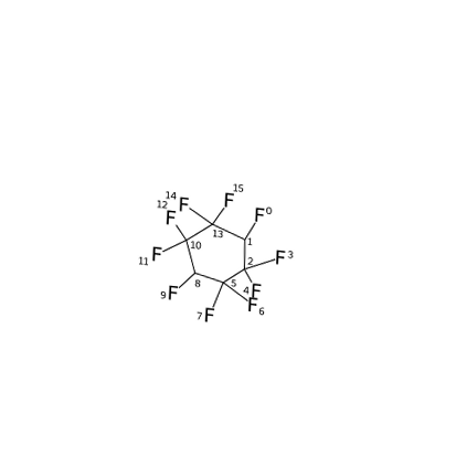 FC1C(F)(F)C(F)(F)C(F)C(F)(F)C1(F)F